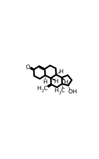 C=C1C[C@]2(C)[C@@H](O)CC[C@H]2[C@@H]2CCC3=CC(=O)CC[C@@H]3[C@@H]12